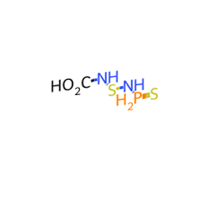 O=C(O)NSN[PH2]=S